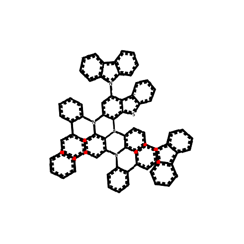 c1ccc(-c2cc3c4c(c2)N(c2ccccc2-c2ccccc2)c2cc(-n5c6ccccc6c6ccccc65)c5c(sc6ccccc65)c2B4c2ccc(-n4c5ccccc5c5ccccc54)cc2N3c2ccccc2-c2ccccc2)cc1